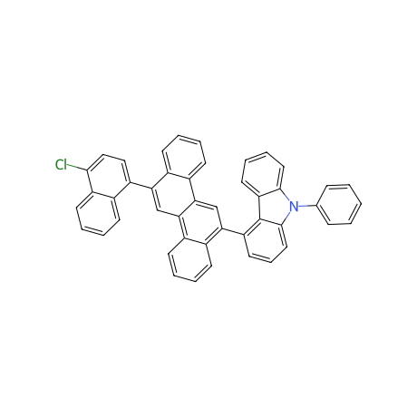 Clc1ccc(-c2cc3c4ccccc4c(-c4cccc5c4c4ccccc4n5-c4ccccc4)cc3c3ccccc23)c2ccccc12